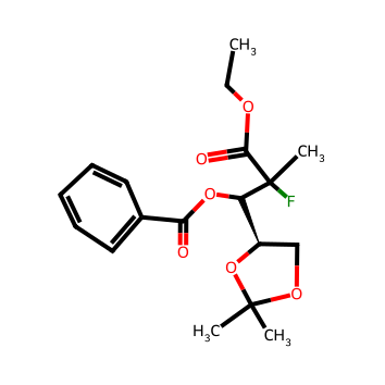 CCOC(=O)C(C)(F)C(OC(=O)c1ccccc1)[C@H]1COC(C)(C)O1